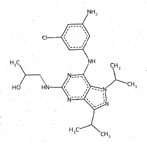 CC(O)CNc1nc(Nc2cc(N)cc(Cl)c2)c2c(n1)c(C(C)C)nn2C(C)C